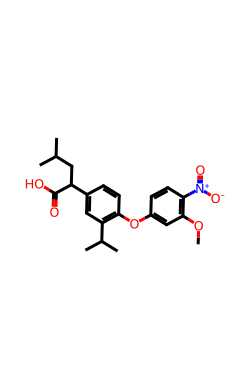 COc1cc(Oc2ccc(C(CC(C)C)C(=O)O)cc2C(C)C)ccc1[N+](=O)[O-]